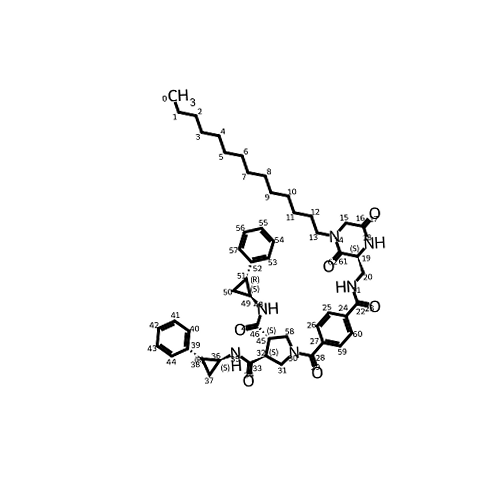 CCCCCCCCCCCCCCN1CC(=O)N[C@@H](CNC(=O)c2ccc(C(=O)N3C[C@@H](C(=O)N[C@H]4C[C@@H]4c4ccccc4)[C@H](C(=O)N[C@H]4C[C@@H]4c4ccccc4)C3)cc2)C1=O